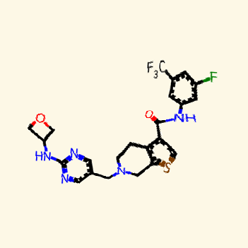 O=C(Nc1cc(F)cc(C(F)(F)F)c1)c1csc2c1CCN(Cc1cnc(NC3COC3)nc1)C2